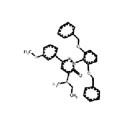 CCN(C)c1cc(-c2cccc(OC)c2)nn(-c2c(OCc3ccccc3)cccc2OCc2ccccc2)c1=O